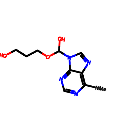 CNc1ncnc2c1ncn2C(O)OCCCO